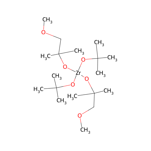 COCC(C)(C)[O][Zr]([O]C(C)(C)C)([O]C(C)(C)C)[O]C(C)(C)COC